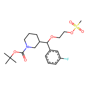 CC(C)(C)OC(=O)N1CCCC(C(OCCOS(C)(=O)=O)c2cccc(F)c2)C1